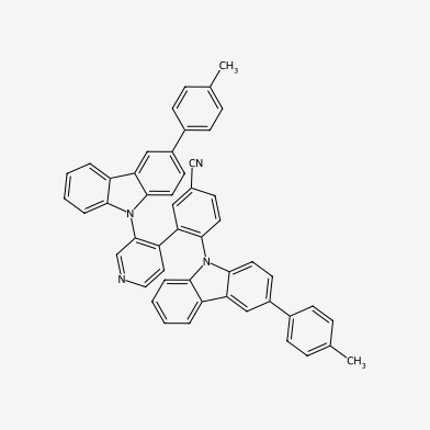 Cc1ccc(-c2ccc3c(c2)c2ccccc2n3-c2ccc(C#N)cc2-c2ccncc2-n2c3ccccc3c3cc(-c4ccc(C)cc4)ccc32)cc1